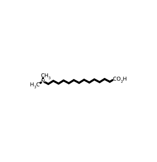 CN(C)CCCCCCCCCCCCCC(=O)O